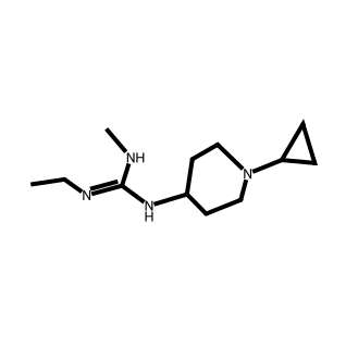 CC/N=C(\NC)NC1CCN(C2CC2)CC1